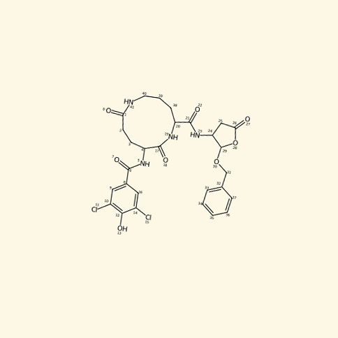 O=C1CCC(NC(=O)c2cc(Cl)c(O)c(Cl)c2)C(=O)NC(C(=O)NC2CC(=O)OC2OCc2ccccc2)CCCN1